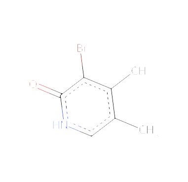 Cc1c[nH]c(=O)c(Br)c1C